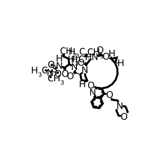 C=CCC(NC(=O)[C@@H]1C[C@@H]2CN1C(=O)[C@H](C(C)(C)C)NC(=O)O[C@@H]1C[C@H]1CCCCCc1c(nc3ccccc3c1OCCN1CCOCC1)O2)C(=O)NS(=O)(=O)N(C)C